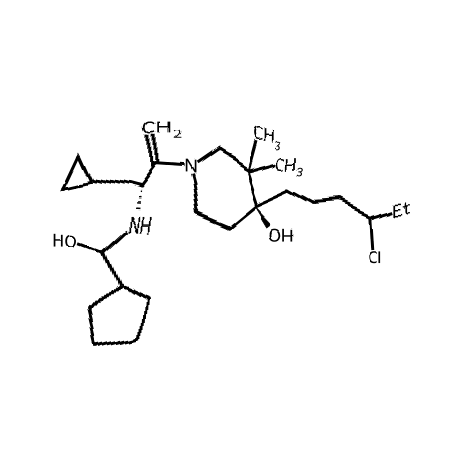 C=C([C@H](NC(O)C1CCCC1)C1CC1)N1CC[C@@](O)(CCCC(Cl)CC)C(C)(C)C1